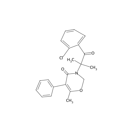 CC1=C(c2ccccc2)C(=O)N(C(C)(C)C(=O)c2ccccc2Cl)CO1